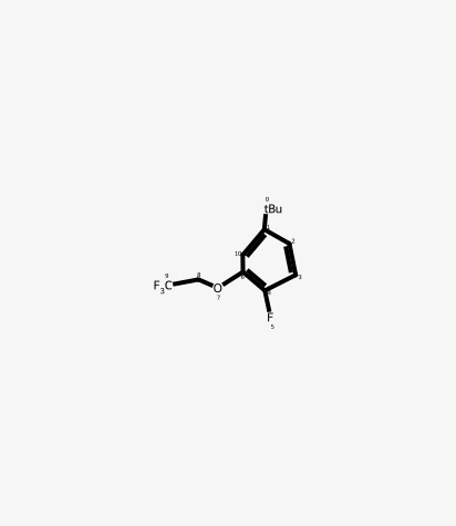 CC(C)(C)c1ccc(F)c(OCC(F)(F)F)c1